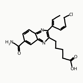 C/C=C(\C=C/CCl)c1nc2ccc(C(N)=O)cc2nc1CCCCC(=O)O